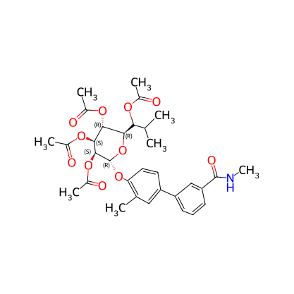 CNC(=O)c1cccc(-c2ccc(O[C@H]3O[C@H](C(OC(C)=O)C(C)C)[C@@H](OC(C)=O)[C@H](OC(C)=O)[C@@H]3OC(C)=O)c(C)c2)c1